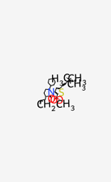 C=CCC1CCC(C2CCCCC2)N(c2cc(C#CC(C)(C)C)sc2C(=O)OC)C1=O